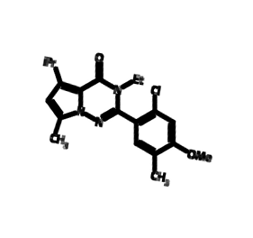 CCn1c(-c2cc(C)c(OC)cc2Cl)nn2c(C)cc(C(C)C)c2c1=O